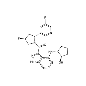 O=C(c1n[nH]c2ncnc(N[C@@H]3CCC[C@H]3O)c12)N1C[C@@H](F)C[C@@H]1c1cncc(F)c1